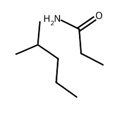 CCC(N)=O.CCCC(C)C